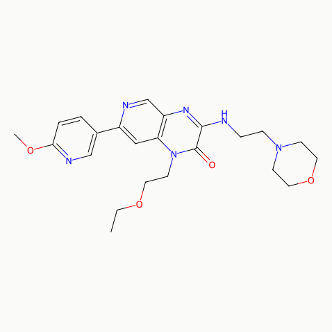 CCOCCn1c(=O)c(NCCN2CCOCC2)nc2cnc(-c3ccc(OC)nc3)cc21